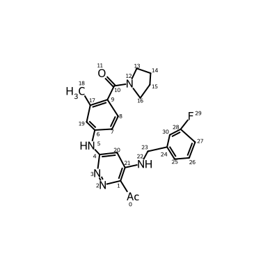 CC(=O)c1nnc(Nc2ccc(C(=O)N3CCCC3)c(C)c2)cc1NCc1cccc(F)c1